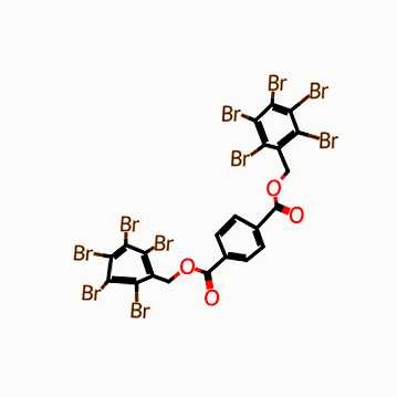 O=C(OCc1c(Br)c(Br)c(Br)c(Br)c1Br)c1ccc(C(=O)OCc2c(Br)c(Br)c(Br)c(Br)c2Br)cc1